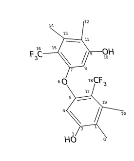 Cc1c(O)cc(Oc2cc(O)c(C)c(C)c2C(F)(F)F)c(C(F)(F)F)c1C